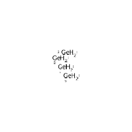 [GeH2].[GeH2].[GeH2].[GeH2]